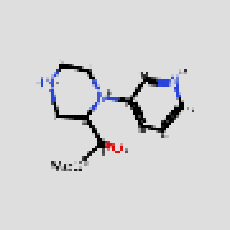 COC(=O)C1CNCCN1c1cccnc1